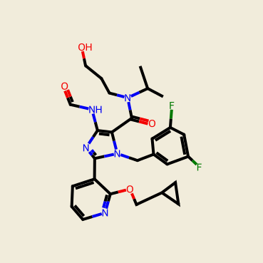 CC(C)N(CCCO)C(=O)c1c(NC=O)nc(-c2cccnc2OCC2CC2)n1Cc1cc(F)cc(F)c1